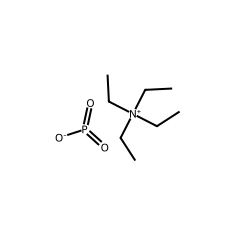 CC[N+](CC)(CC)CC.O=P(=O)[O-]